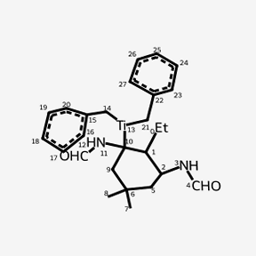 CCC1C(NC=O)CC(C)(C)C[C]1(NC=O)[Ti]([CH2]c1ccccc1)[CH2]c1ccccc1